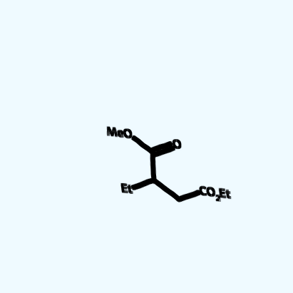 CCOC(=O)C[C](CC)C(=O)OC